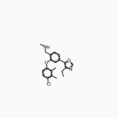 CCc1ncoc1-c1ccc(CNC)c(Oc2ccc(Cl)c(C)c2C)c1